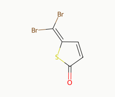 O=C1C=CC(=C(Br)Br)S1